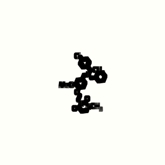 COc1cc(CN(CC2CCCCC2)[C@@H](C)c2ccc(Cl)cc2)ccc1OCCn1c(=O)ccn(C)c1=O